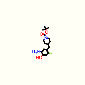 CC(C)(C)OC(=O)N1CCC(Cc2cc(N)c(O)cc2F)CC1